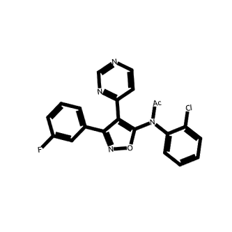 CC(=O)N(c1ccccc1Cl)c1onc(-c2cccc(F)c2)c1-c1ccncn1